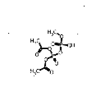 COP(=O)(O)OP(=O)(OC(C)=O)OC(C)=O